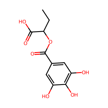 CCC(OC(=O)c1cc(O)c(O)c(O)c1)C(=O)O